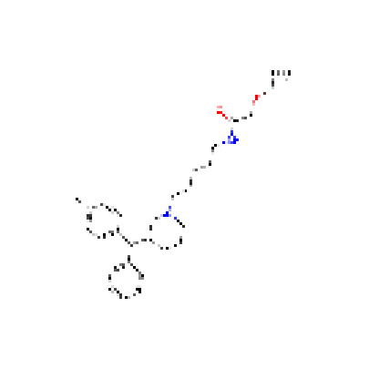 Cc1ccc(C(c2ccccc2)C2CCCN(CCCCCNC(=O)COCC(=O)O)C2)cc1